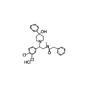 CN(CC(c1ccc(Cl)c(Cl)c1)N1CCC(O)(c2ccccc2)CC1)C(=O)Cc1ccccc1.Cl